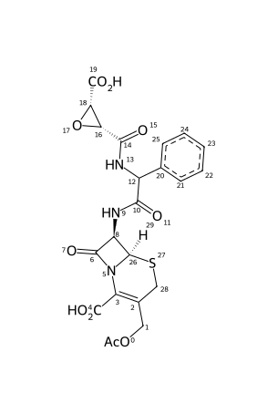 CC(=O)OCC1=C(C(=O)O)N2C(=O)[C@@H](NC(=O)C(NC(=O)[C@@H]3O[C@@H]3C(=O)O)c3ccccc3)[C@H]2SC1